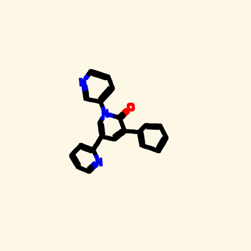 O=c1c(-c2ccccc2)cc(-c2ccccn2)cn1-c1cccnc1